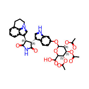 CC(=O)O[C@H]1[C@H](OC(C)=O)C(C(=O)O)OC(Oc2ccc3c([C@@H]4C(=O)NC(=O)[C@H]4c4cn5c6c(cccc46)CCC5)c[nH]c3c2)[C@@H]1OC(C)=O